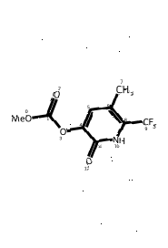 COC(=O)Oc1cc(C)c(C(F)(F)F)[nH]c1=O